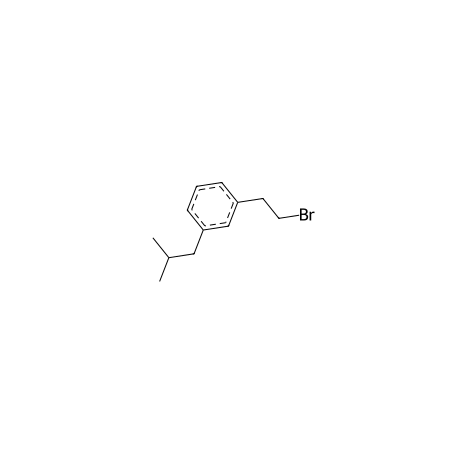 CC(C)Cc1cccc(CCBr)c1